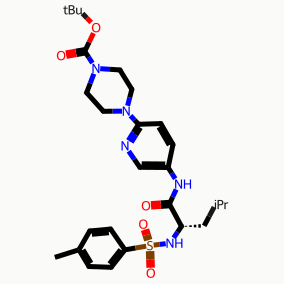 Cc1ccc(S(=O)(=O)N[C@@H](CC(C)C)C(=O)Nc2ccc(N3CCN(C(=O)OC(C)(C)C)CC3)nc2)cc1